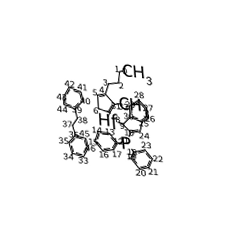 CCCCC1=CC[C]([Hf][CH]2C(P(c3ccccc3)c3ccccc3)=Cc3ccccc32)=C1C.c1ccc(CCc2ccccc2)cc1